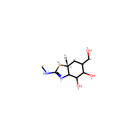 CNC1=NC2C(O)C(O)C(CO)C[C@H]2S1